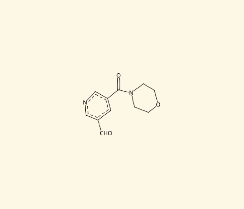 O=Cc1cncc(C(=O)N2CCOCC2)c1